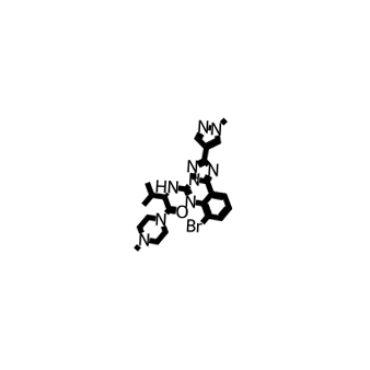 CC(C)[C@@H](Nc1nc2c(Br)cccc2c2nc(-c3cnn(C)c3)nn12)C(=O)N1CCN(C)CC1